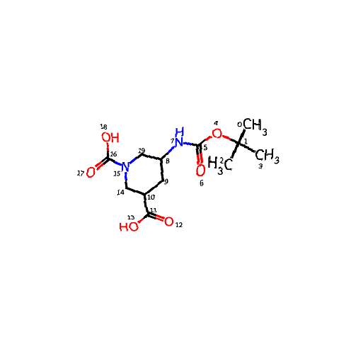 CC(C)(C)OC(=O)NC1CC(C(=O)O)CN(C(=O)O)C1